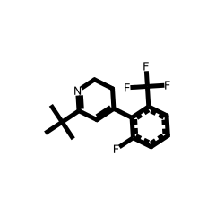 CC(C)(C)C1=NCCC(c2c(F)cccc2C(F)(F)F)=C1